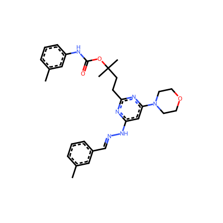 Cc1cccc(/C=N/Nc2cc(N3CCOCC3)nc(CCC(C)(C)OC(=O)Nc3cccc(C)c3)n2)c1